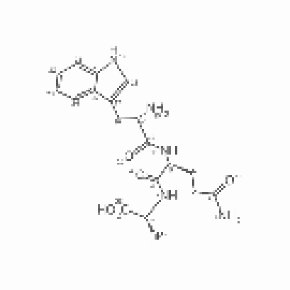 CC(C)[C@H](NC(=O)[C@H](CCC(N)=O)NC(=O)[C@@H](N)Cc1c[nH]c2ccccc12)C(=O)O